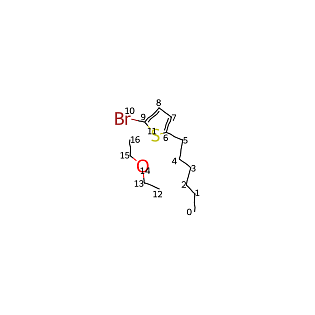 CCCCCCc1ccc(Br)s1.CCOCC